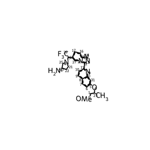 COC[C@H](C)Oc1ccc2ccc(-c3nnc4ccc([C@@H](N5CC[C@H](N)C5)C(F)(F)F)cn34)nc2c1